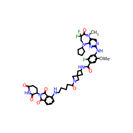 COc1cc(C(=O)NC2CC3(C2)CN(C(=O)CCCCNc2cccc4c2C(=O)N(C2CCC(=O)NC2=O)C4=O)C3)c(F)cc1Nc1ncc2c(n1)N(C1CCCC1)CC(F)(F)C(=O)N2C